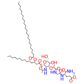 CCCCCCCCCCCCCCCCCCCCCCCC(=O)O[C@H](CCCCCCCCCCC)CC(=O)S[C@@H]1O[C@H](CO)[C@@H](O)[C@@H](OC(C)C(=O)N[C@@H](C)C(=O)N[C@H](CCC(=O)OC)C(N)=O)[C@H]1NC(C)=O